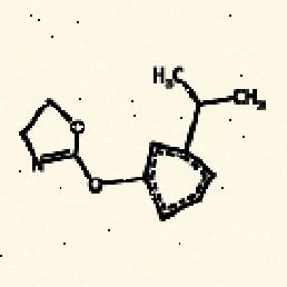 CC(C)c1cccc(OC2=NCCO2)c1